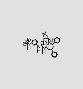 CC(C)(C)CC(=O)NN1C(=O)C(NC(=O)Nc2cccc(NS(C)(=O)=O)c2)CC(c2ccccc2)CC1c1ccccc1